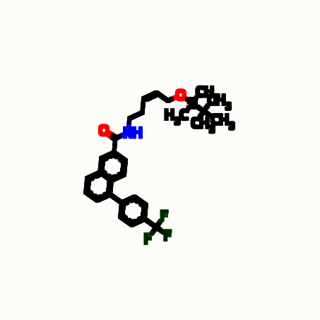 CC(C)(C)[Si](C)(C)OC/C=C\CCNC(=O)c1ccc2c(-c3ccc(C(F)(F)F)cc3)cccc2c1